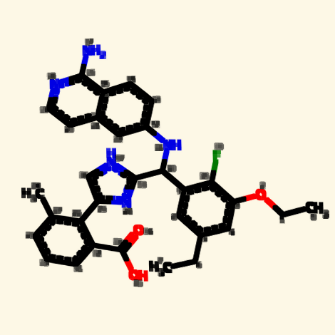 CCOc1cc(CC)cc(C(Nc2ccc3c(N)nccc3c2)c2nc(-c3c(C)cccc3C(=O)O)c[nH]2)c1F